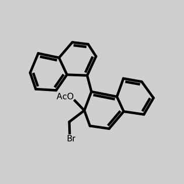 CC(=O)OC1(CBr)CC=c2ccccc2=C1c1cccc2ccccc12